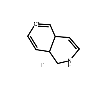 [C+]1=CC2C=CNCC2C=C1.[I-]